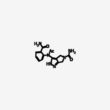 CC(=O)N(c1ccccc1C(N)=O)c1[nH]nc2c1CN(C(N)=O)C2